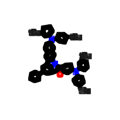 CC(C)(C)c1ccc(N(c2cccc(C(C)(C)C)c2)c2ccc3cc4c5cc(-c6ccccc6)cc6c7oc8cc(N(c9ccc(C(C)(C)C)cc9)c9cccc(C(C)(C)C)c9)ccc8c7n(c4cc3c2)c56)cc1